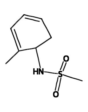 CC1=CC=CCC1NS(C)(=O)=O